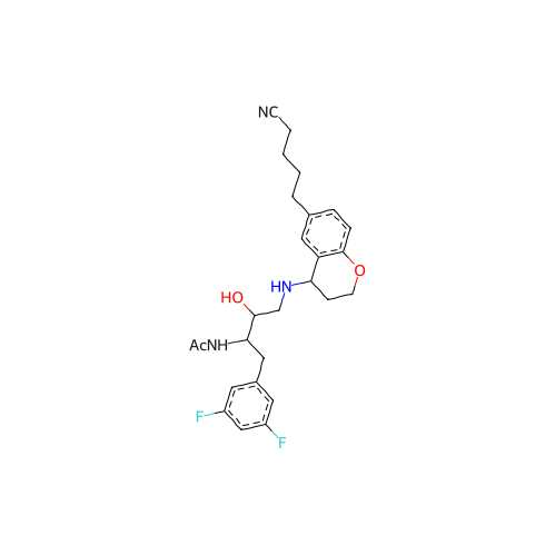 CC(=O)NC(Cc1cc(F)cc(F)c1)C(O)CNC1CCOc2ccc(CCCCC#N)cc21